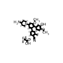 COc1ccc(-c2c(OC)cc(N3CCC(N)CC3)cc2-c2ccc(C#N)c(F)c2)cc1O.O=C(O)C(F)(F)F